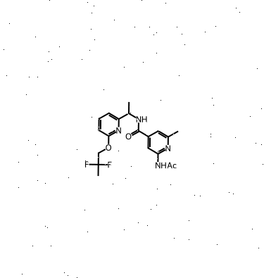 CC(=O)Nc1cc(C(=O)NC(C)c2cccc(OCC(C)(F)F)n2)cc(C)n1